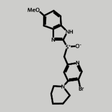 COc1ccc2[nH]c([S+]([O-])Cc3cc(N4CCCCC4)c(Br)cn3)nc2c1